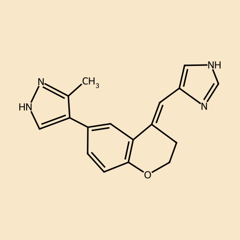 Cc1n[nH]cc1-c1ccc2c(c1)/C(=C/c1c[nH]cn1)CCO2